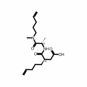 C=CCCC[C@H](CC(=O)O)C(=O)N[C@@H](C)C(=O)N(C)CCCC=C